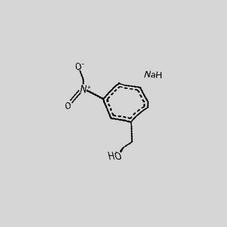 O=[N+]([O-])c1cccc(CO)c1.[NaH]